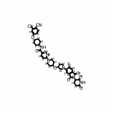 N#Cc1ccc(O[C@H]2CC[C@H](NC(=O)c3ccc(N4CCC(O[C@H]5CCN(c6cc7c(cc6F)C(=O)N(C6CCC(=O)NC6=O)C7=O)C5)CC4)nn3)CC2)cc1Cl